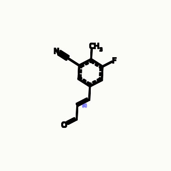 Cc1c(F)cc(/C=C/C=O)cc1C#N